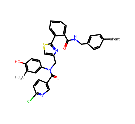 CCCCCc1ccc(CNC(=O)c2ccccc2-c2nc(CN(C(=O)c3ccc(Cl)nc3)c3ccc(O)c(C(=O)O)c3)cs2)cc1